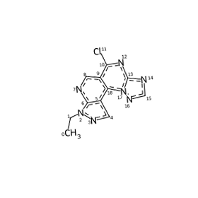 CCn1ncc2c1ncc1c(Cl)nc3ncnn3c12